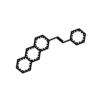 C(=Cc1ccc2cc3ccccc3cc2c1)c1ccccc1